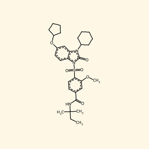 CCC(C)(C)NC(=O)c1ccc(S(=O)(=O)n2c(=O)n(C3CCCCC3)c3cc(OC4CCCC4)ccc32)c(OC)c1